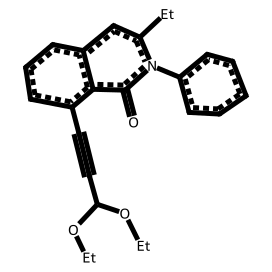 CCOC(C#Cc1cccc2cc(CC)n(-c3ccccc3)c(=O)c12)OCC